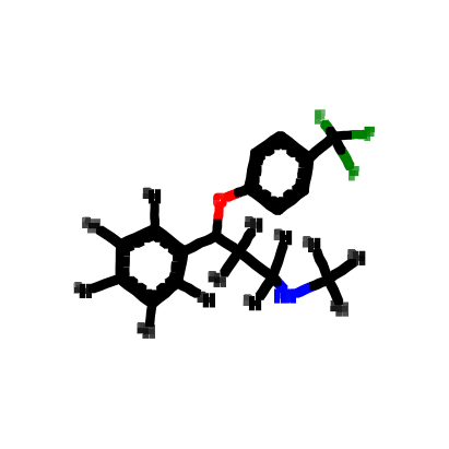 [2H]c1c([2H])c([2H])c(C(Oc2ccc(C(F)(F)F)cc2)C([2H])([2H])C([2H])([2H])NC([2H])([2H])[2H])c([2H])c1[2H]